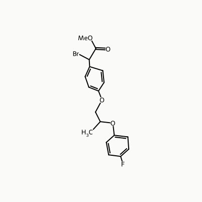 COC(=O)C(Br)c1ccc(OCC(C)Oc2ccc(F)cc2)cc1